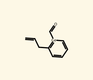 C=CC[C]1=[Ge]([CH]=O)[CH]=CC=C1